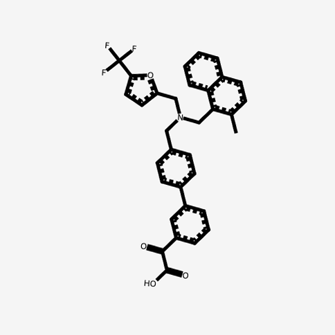 Cc1ccc2ccccc2c1CN(Cc1ccc(-c2cccc(C(=O)C(=O)O)c2)cc1)Cc1ccc(C(F)(F)F)o1